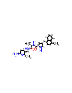 Cc1nc(N)ccc1CNC(=O)[C@H](C)NC(=O)[C@H]1C[C@H](Cc2ccc(C)c3ccccc23)CN1